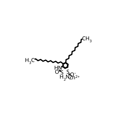 CCCCCCCCCCCCc1cccc(NC([O-])=S)c1CCCCCCCCCCCC.NC([O-])=S.[Zn+2]